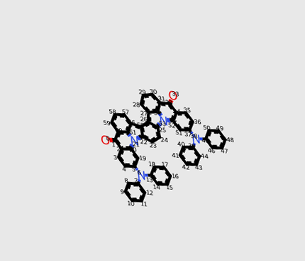 O=c1c2ccc(N(c3ccccc3)c3ccccc3)cc2n2c3ccc4c(c5cccc6c(=O)c7ccc(N(c8ccccc8)c8ccccc8)cc7n4c65)c3c3cccc1c32